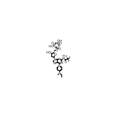 CCN(C)c1cc[n+](-c2nc(NC(=O)C(F)(F)F)nc3c2ncn3[C@H]2CC(O)[C@@H](COP3(=O)OP(=O)(O)OP(=O)(O)O3)O2)cc1